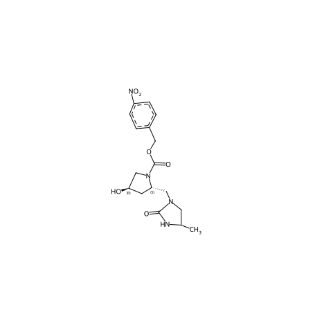 CC1CN(C[C@@H]2C[C@@H](O)CN2C(=O)OCc2ccc([N+](=O)[O-])cc2)C(=O)N1